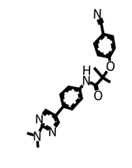 CN(C)c1ncc(-c2ccc(NC(=O)C(C)(C)Oc3ccc(C#N)cc3)cc2)cn1